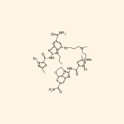 CCn1nc(C)cc1C(=O)Nc1nc2cc(C(N)=O)cc(OCCCN(C)CCOC)c2n1CCC[C@H]1COc2cc(C(N)=O)cc3nc(NC(=O)c4cc(C)nn4CC)n1c23